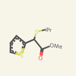 COC(=O)C(SC(C)C)c1cccs1